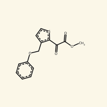 COC(=O)C(=O)c1sccc1COc1ccccc1